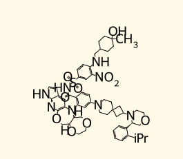 CC(C)c1ccccc1[C@@H]1COCCN1C1CC2(CCN(c3ccc(C(=O)NS(=O)(=O)c4ccc(NCC5CCC(C)(O)CC5)c([N+](=O)[O-])c4)c(N4c5cc6cc[nH]c6nc5OC[C@@H]5OCCOC[C@H]54)c3)CC2)C1